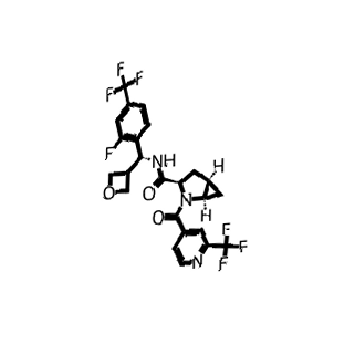 O=C(N[C@@H](c1ccc(C(F)(F)F)cc1F)C1COC1)[C@H]1C[C@H]2C[C@H]2N1C(=O)c1ccnc(C(F)(F)F)c1